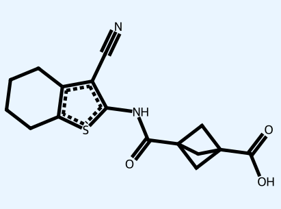 N#Cc1c(NC(=O)C23CC(C(=O)O)(C2)C3)sc2c1CCCC2